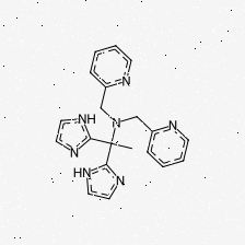 CC(c1ncc[nH]1)(c1ncc[nH]1)N(Cc1ccccn1)Cc1ccccn1